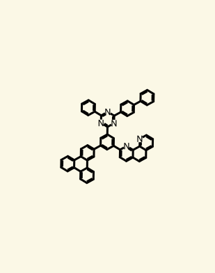 c1ccc(-c2ccc(-c3nc(-c4ccccc4)nc(-c4cc(-c5ccc6c7ccccc7c7ccccc7c6c5)cc(-c5ccc6ccc7cccnc7c6n5)c4)n3)cc2)cc1